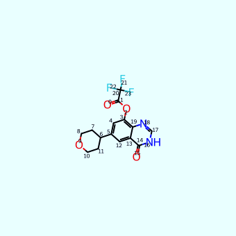 O=C(Oc1cc(C2CCOCC2)cc2c(=O)[nH]cnc12)C(F)(F)F